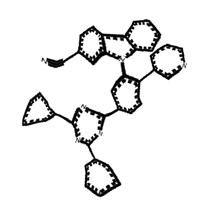 N#Cc1ccc2c3ccccc3n(-c3cc(-c4nc(-c5ccccc5)nc(-c5ccccc5)n4)ccc3-c3cccnc3)c2c1